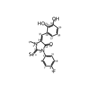 CN1C(=[Se])N(c2ccc(F)cc2)C(=O)C1=Cc1cccc(O)c1O